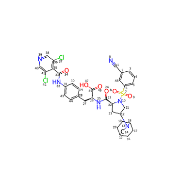 N#Cc1cccc(S(=O)(=O)N2CC(N3CC4CCC3CC4)C[C@H]2C(=O)N[C@@H](Cc2ccc(NC(=O)c3c(Cl)cncc3Cl)cc2)C(=O)O)c1